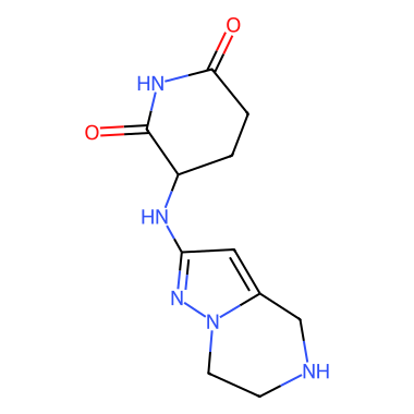 O=C1CCC(Nc2cc3n(n2)CCNC3)C(=O)N1